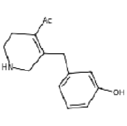 CC(=O)C1=C(Cc2cccc(O)c2)CNCC1